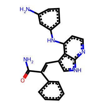 NC(=O)/C(=C/c1c[nH]c2nccc(Nc3cccc(N)c3)c12)c1ccccc1